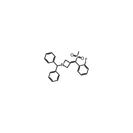 CS(=O)(=O)C(=C1CN(C(c2ccccc2)c2ccccc2)C1)c1ccccc1F